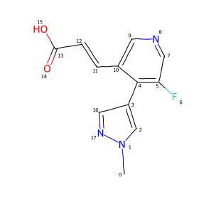 Cn1cc(-c2c(F)cncc2C=CC(=O)O)cn1